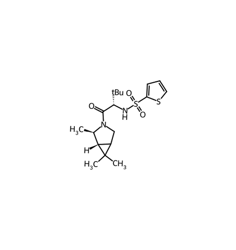 C[C@@H]1[C@@H]2C(CN1C(=O)[C@@H](NS(=O)(=O)c1cccs1)C(C)(C)C)C2(C)C